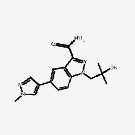 Cn1cc(-c2ccc3c(c2)c(C(N)=O)nn3CC(C)(C)O)cn1